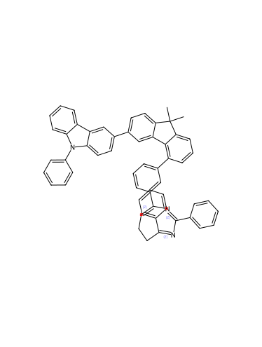 CC1(C)c2ccc(-c3ccc4c(c3)c3ccccc3n4-c3ccccc3)cc2-c2c(-c3cccc(C4=C/CC/C(c5ccccc5)=N/C(c5ccccc5)=N\4)c3)cccc21